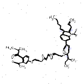 C=C/C=c1\c(=C/CCCC)c2ccc(C(/C=C\C(OCCOCCOCCOc3ccc(C(=O)C(C)C)c(C(C)=O)c3)=C(/C)CC)=C/C)cc2n1C(F)F